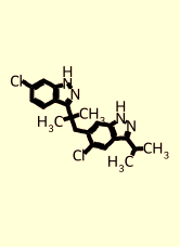 CC(C)c1n[nH]c2cc(CC(C)(C)c3n[nH]c4cc(Cl)ccc34)c(Cl)cc12